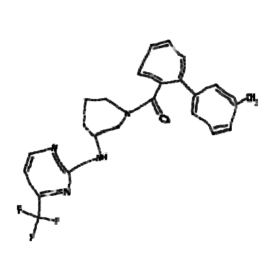 Cc1cccc(-c2ccccc2C(=O)N2CCCC(Nc3nccc(C(F)(F)F)n3)C2)c1